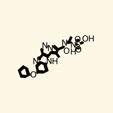 CC(=NC(=O)c1cn2ncc(C#N)c(Nc3ccc(Oc4ccccc4)cc3)c2c1C)NS(=O)(=O)CO